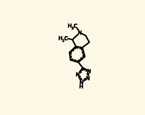 CC1c2ccc(-c3nn[nH]n3)cc2CCN1C